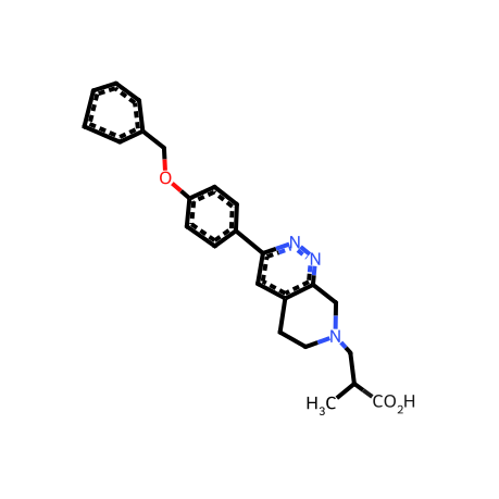 CC(CN1CCc2cc(-c3ccc(OCc4ccccc4)cc3)nnc2C1)C(=O)O